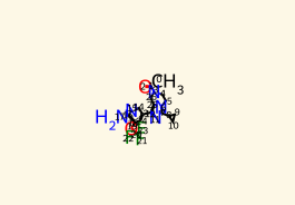 CC(=O)N1CCn2c(C3CC3)nc(-c3cnc(N)c(OC(F)(F)F)c3)c2C1